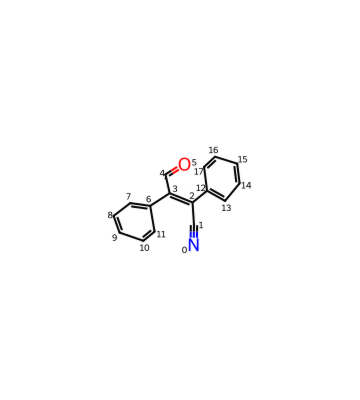 N#CC(=C([C]=O)c1ccccc1)c1ccccc1